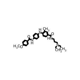 CCN(CC)CCCNC(=O)c1ccc(Nc2ccc(NC(=O)c3ccc(OC)cc3)cc2)c(C)c1